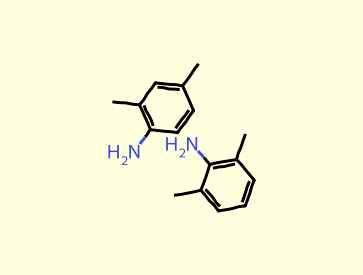 Cc1ccc(N)c(C)c1.Cc1cccc(C)c1N